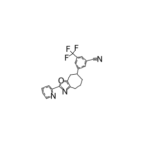 N#Cc1cc(C2CCCc3nc(-c4ccccn4)oc3C2)cc(C(F)(F)F)c1